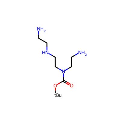 CC(C)(C)OC(=O)N(CCN)CCNCCN